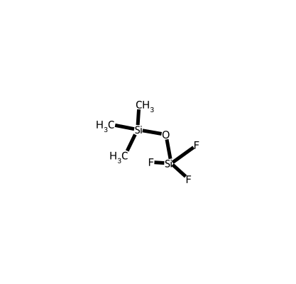 C[Si](C)(C)O[Si](F)(F)F